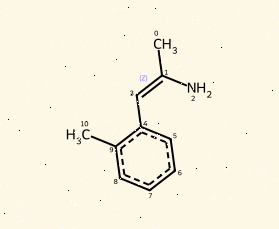 C/C(N)=C/c1ccccc1C